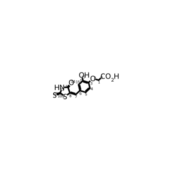 O=C(O)COc1ccc(C=C2SC(=S)NC2=O)cc1O